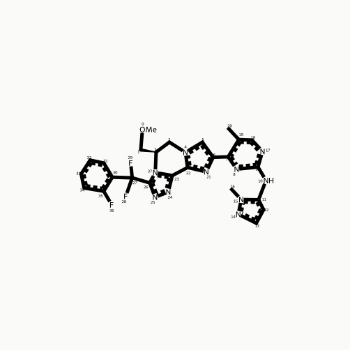 COC[C@H]1Cn2cc(-c3nc(Nc4ccnn4C)ncc3C)nc2-c2nnc(C(F)(F)c3ccccc3F)n21